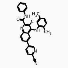 Cc1ccc(C)c(Nc2c(Cl)c(C(=O)Nc3ccccc3)nc3ccc(-c4ccc(C#N)nc4)cc23)c1